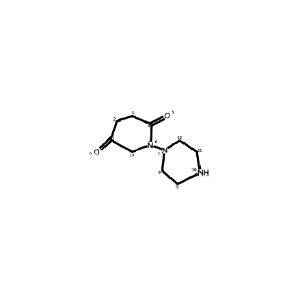 O=C1CCC(=O)N(N2CCNCC2)C1